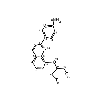 Nc1ccc(-c2ccc3cccc(OC(CO)CF)c3n2)cc1